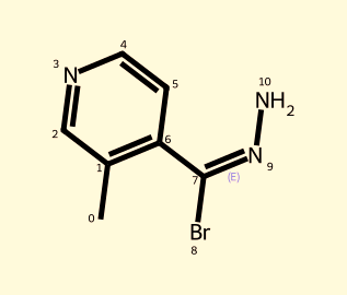 Cc1cnccc1/C(Br)=N\N